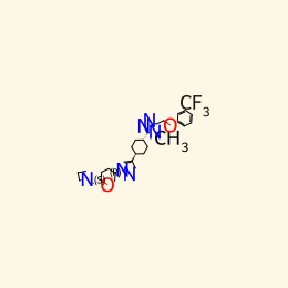 Cn1c(COc2cccc(C(F)(F)F)c2)nnc1[C@H]1CC[C@H](c2cnn([C@@H]3CC[C@@H](CN4CCC4)OC3)c2)CC1